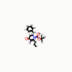 CCCC1=C(I)C(=O)C[C@H](Cc2ccccc2)N1C(=O)OC(C)(C)C